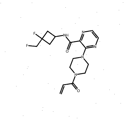 C=CC(=O)N1CCN(c2nccnc2C(=O)NC2CC(F)(CF)C2)CC1